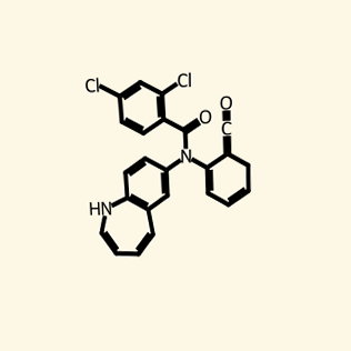 O=C=C1CC=CC=C1N(C(=O)c1ccc(Cl)cc1Cl)c1ccc2c(c1)C=CC=CN2